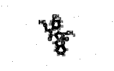 C#CCN(C(=O)[C@@H]1CN(C)S(=O)(=O)N1Cc1ccccc1)c1cccc(C)c1